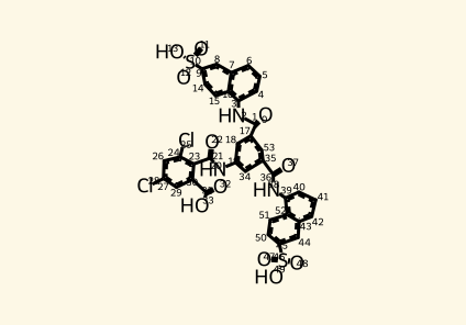 O=C(Nc1cccc2cc(S(=O)(=O)O)ccc12)c1cc(NC(=O)c2c(Cl)cc(Cl)cc2C(=O)O)cc(C(=O)Nc2cccc3cc(S(=O)(=O)O)ccc23)c1